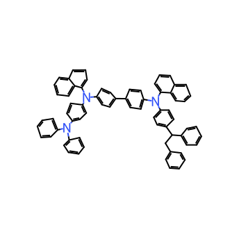 c1ccc(CC(c2ccccc2)c2ccc(N(c3ccc(-c4ccc(N(c5ccc(N(c6ccccc6)c6ccccc6)cc5)c5cccc6ccccc56)cc4)cc3)c3cccc4ccccc34)cc2)cc1